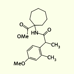 COC(=O)C1(NC(=O)C(C)c2ccc(OC)cc2C)CCCCCC1